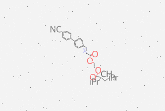 CC(C)CC(C)(C(=O)OCCOC(=O)/C=C/c1ccc(-c2ccc(C#N)cc2)cc1)C(C)C